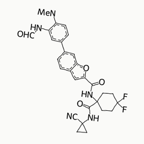 CNc1ccc(-c2ccc3cc(C(=O)NC4(C(=O)NC5(C#N)CC5)CCC(F)(F)CC4)oc3c2)cc1NC=O